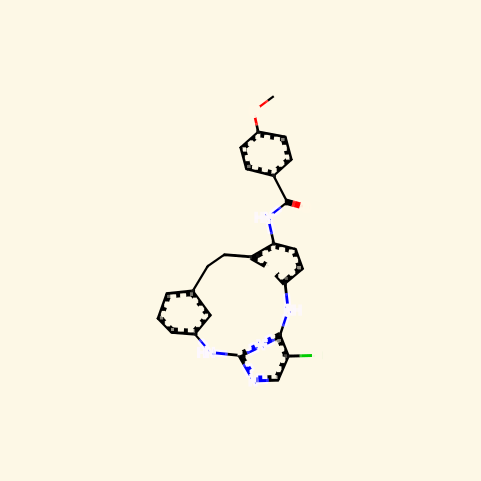 COc1ccc(C(=O)Nc2ccc3cc2CCc2cccc(c2)Nc2ncc(Cl)c(n2)N3)cc1